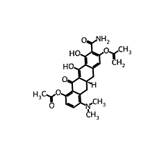 C=C(C)Oc1cc2c(c(O)c1C(N)=O)C(O)=C1C(=O)c3c(OC(C)=O)ccc(N(C)C)c3C[C@H]1C2